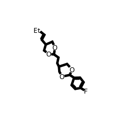 CCC=CC1COC(CCC2COC(c3ccc(F)cc3)OC2)OC1